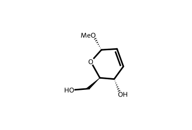 CO[C@@H]1C=C[C@H](O)[C@@H](CO)O1